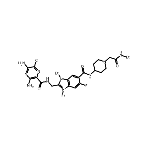 CCNC(=O)CN1CCC(NC(=O)c2cc3c(cc2F)[n+](CC)c(CNC(=O)c2nc(Cl)c(N)nc2N)n3CC)CC1